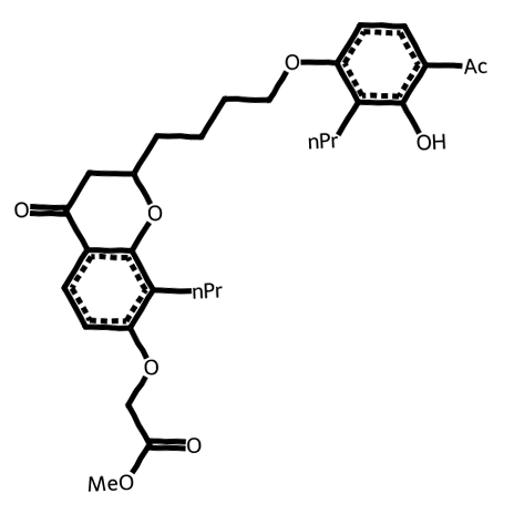 CCCc1c(OCCCCC2CC(=O)c3ccc(OCC(=O)OC)c(CCC)c3O2)ccc(C(C)=O)c1O